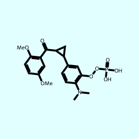 COc1ccc(OC)c(C(=O)C2CC2c2ccc(N(C)C)c(OOP(=O)(O)O)c2)c1